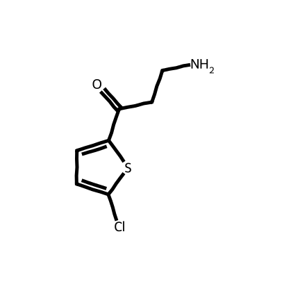 NCCC(=O)c1ccc(Cl)s1